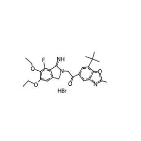 Br.CCOc1cc2c(c(F)c1OCC)C(=N)N(CC(=O)c1cc(C(C)(C)C)c3oc(C)nc3c1)C2